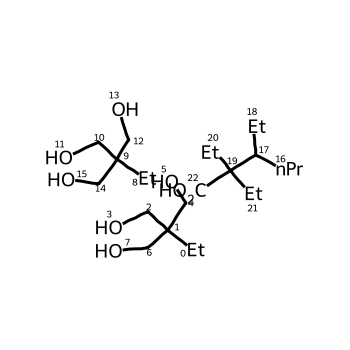 CCC(CO)(CO)CO.CCC(CO)(CO)CO.CCCC(CC)C(CC)(CC)C(=O)O